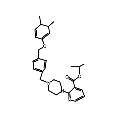 CC(C)OC(=O)c1cccnc1N1CCN(Cc2ccc(COC3=CC(C)C(C)C=C3)cc2)CC1